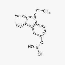 CCn1c2ccccc2c2cc(OB(O)O)ccc21